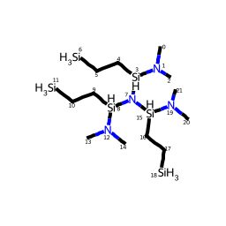 CN(C)[SiH](CC[SiH3])N([SiH](CC[SiH3])N(C)C)[SiH](CC[SiH3])N(C)C